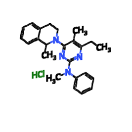 CCc1nc(N(C)c2ccccc2)nc(N2CCc3ccccc3C2C)c1C.Cl